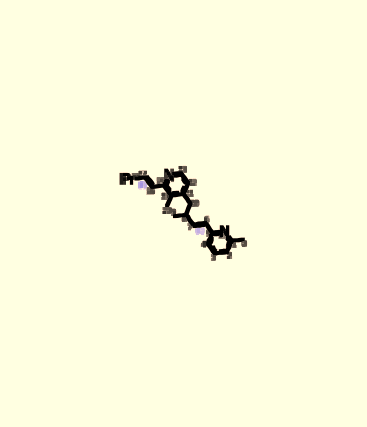 Cc1cccc(/C=C/C(C)Cc2ccnc(/C=C/C(C)C)c2C)n1